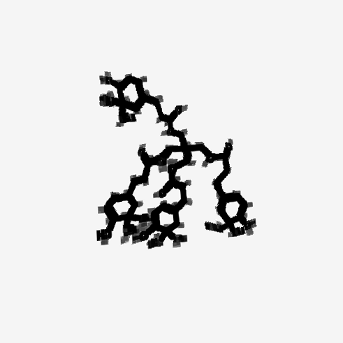 CC(C)(C)C1(C(C)(C)C)CC(CCC(=O)OCC(COC(=O)CCC2=CC=C(O)C(C(C)(C)C)(C(C)(C)C)C2)(COC(=O)CCC2=CC=C(O)C(C(C)(C)C)(C(C)(C)C)C2)COC(=O)CCC2=CC=C(O)C(C(C)(C)C)(C(C)(C)C)C2)=CC=C1O